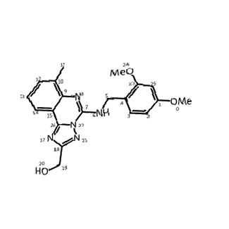 COc1ccc(CNc2nc3c(C)cccc3c3nc(CO)nn23)c(OC)c1